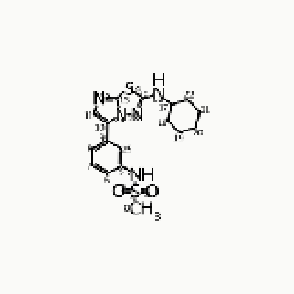 CS(=O)(=O)Nc1cccc(-c2cnc3sc(NC4CCCCC4)nn23)c1